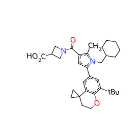 Cc1c(C(=O)N2CC(C(=O)O)C2)cc(-c2cc(C(C)(C)C)c3c(c2)C2(CCO3)CC2)n1CC1CCCCC1